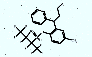 Cc1ccc(OS(=O)(=O)C(F)(C(F)(F)F)C(F)(F)C(F)(F)F)c(C(CCI)c2ccccc2)c1